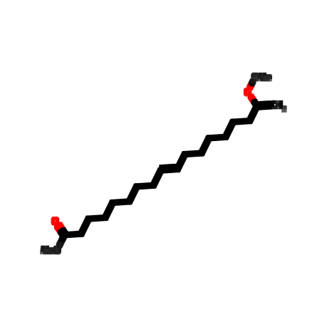 C=C(CCCCCC/C=C/CCCCCCCC(=O)OC)OOC